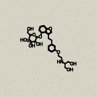 OCC(CO)NCCOc1cccc(CCc2coc3cccc(O[C@@H]4O[C@H](CO)[C@@H](O)[C@H](O)[C@H]4O)c23)c1